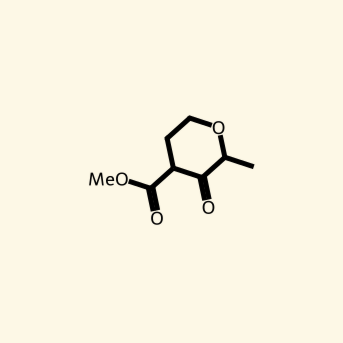 COC(=O)C1CCOC(C)C1=O